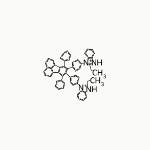 CCc1[nH]c2ccccc2[n+]1-c1ccc(-c2c(-c3ccc(-[n+]4c(CC)[nH]c5ccccc54)cc3)c(-c3ccccc3)c3c(c2-c2ccccc2)-c2cccc4cccc-3c24)cc1